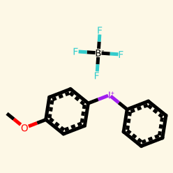 COc1ccc([I+]c2ccccc2)cc1.F[B-](F)(F)F